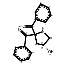 O=C(c1ccccc1)C1(C(=O)c2ccccc2)C[C@@H](O)CN1